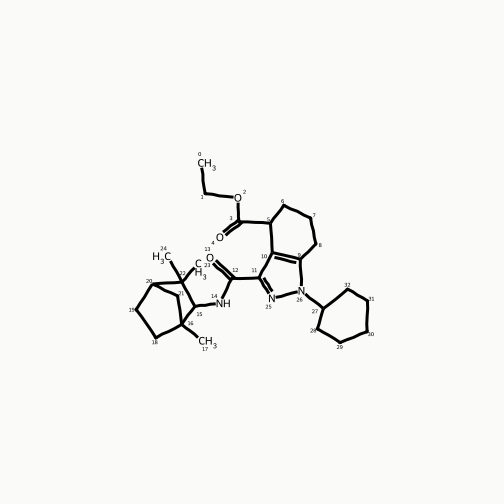 CCOC(=O)C1CCCc2c1c(C(=O)NC1C3(C)CCC(C3)C1(C)C)nn2C1CCCCC1